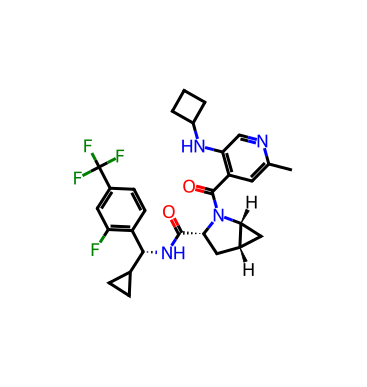 Cc1cc(C(=O)N2[C@@H](C(=O)N[C@@H](c3ccc(C(F)(F)F)cc3F)C3CC3)C[C@H]3C[C@H]32)c(NC2CCC2)cn1